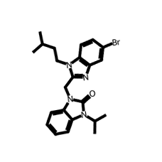 CC(C)CCn1c(Cn2c(=O)n(C(C)C)c3ccccc32)nc2cc(Br)ccc21